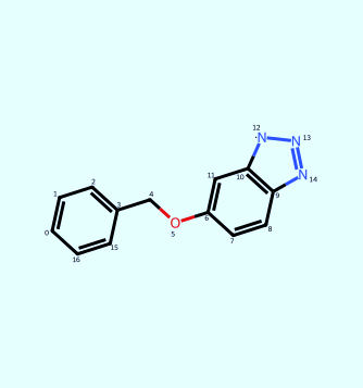 c1ccc(COc2ccc3c(c2)[N]N=N3)cc1